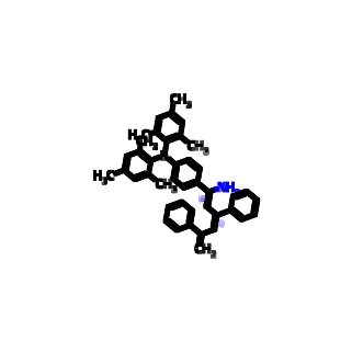 C=C(/C=C(\C=C(/N)c1ccc(B(c2c(C)cc(C)cc2C)c2c(C)cc(C)cc2C)cc1)c1ccccc1)c1ccccc1